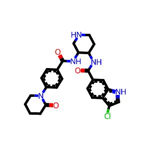 O=C(NC1CCNCC1NC(=O)c1ccc(N2CCCCC2=O)cc1)c1ccc2c(Cl)c[nH]c2c1